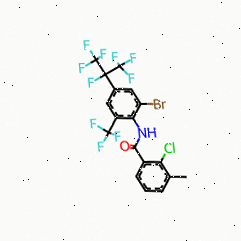 Cc1cccc(C(=O)Nc2c(Br)cc(C(F)(C(F)(F)F)C(F)(F)F)cc2C(F)(F)F)c1Cl